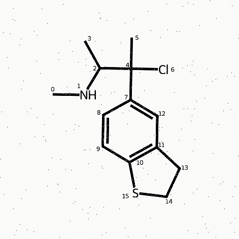 CNC(C)C(C)(Cl)c1ccc2c(c1)CCS2